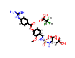 COc1cc(OC(=O)c2ccc(NC(=N)N)cc2)ccc1CNS(=O)(=O)N[C@@H](CC(=O)O)C(=O)O.O=C(O)C(F)(F)F